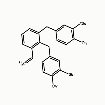 C=Cc1cccc(Cc2ccc(O)c(C(C)(C)C)c2)c1Cc1ccc(O)c(C(C)(C)C)c1